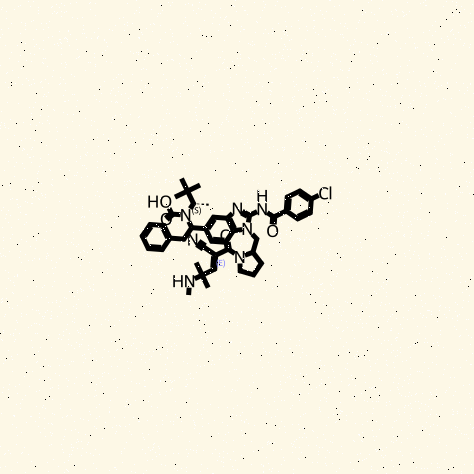 CNC(C)(C)/C=C(\C#N)C(=O)N1CCCC1Cn1c(NC(=O)c2ccc(Cl)cc2)nc2cc(C(Cc3ccccc3)N(C(=O)O)[C@@H](C)C(C)(C)C)ccc21